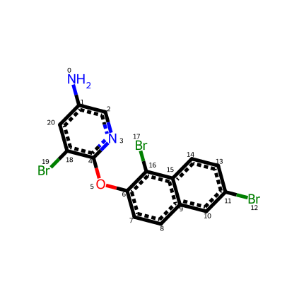 Nc1cnc(Oc2ccc3cc(Br)ccc3c2Br)c(Br)c1